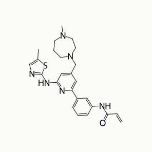 C=CC(=O)Nc1cccc(-c2cc(CN3CCCN(C)CC3)cc(Nc3ncc(C)s3)n2)c1